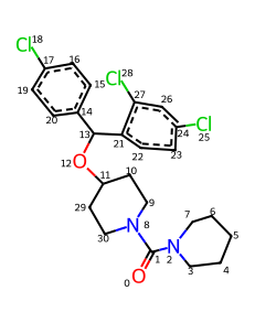 O=C(N1CCCCC1)N1CCC(OC(c2ccc(Cl)cc2)c2ccc(Cl)cc2Cl)CC1